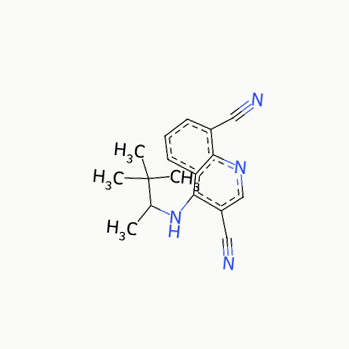 CC(Nc1c(C#N)cnc2c(C#N)cccc12)C(C)(C)C